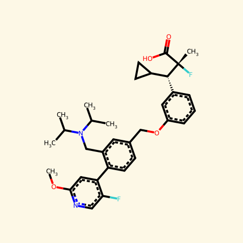 COc1cc(-c2ccc(COc3cccc([C@H](C4CC4)[C@@](C)(F)C(=O)O)c3)cc2CN(C(C)C)C(C)C)c(F)cn1